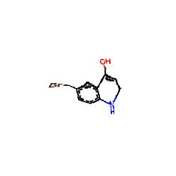 OC1=CCNc2ccc(Br)cc21